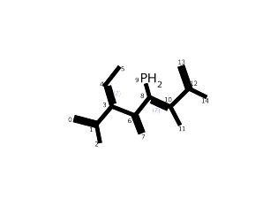 C=C(C)/C(=C/C)C(=C)/C(P)=C(\C)C(=C)C